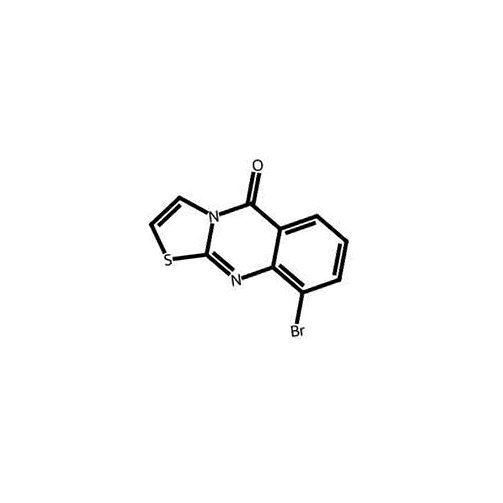 O=c1c2cccc(Br)c2nc2sccn12